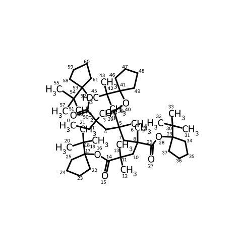 CCC(C)(CC(C)(CC(C)(CC(C)(C)C(=O)OC1(C(C)(C)C)CCCC1)C(=O)OC1(C(C)(C)C)CCCC1)C(=O)OC1(C(C)(C)C)CCCC1)C(=O)OC1(C(C)(C)C)CCCC1